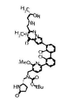 COc1nc(-c2cccc(-c3cccc(-c4cc5c(=O)n(C)c(CNC[C@H](C)O)nn5c4)c3Cl)c2Cl)ccc1CN(C[C@@H]1CCC(=O)N1)C(=O)OC(C)(C)C